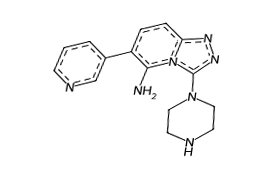 Nc1c(-c2cccnc2)ccc2nnc(N3CCNCC3)n12